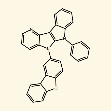 c1ccc(-n2c3ccccc3c3c4ncccc4n(-c4ccc5oc6ccccc6c5c4)c32)cc1